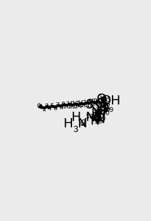 C#CCCCCCCCCCCCCCCCCSCCCOP(=O)(O)CO[C@H](C)Cn1cnc2c(N)ncnc21.N